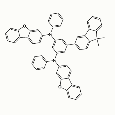 CC1(C)c2ccccc2-c2cc(-c3cc(N(c4ccccc4)c4ccc5c(c4)oc4ccccc45)cc(N(c4ccccc4)c4ccc5c(c4)oc4ccccc45)c3)ccc21